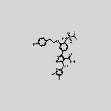 Cc1cc(Nc2[nH]nc(-c3ccc(NS(=O)(=O)C(F)F)c(OCCc4ccc(F)cc4)c3)c2C(N)=O)nn1C